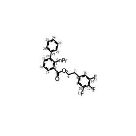 CCCc1c(C(=O)OCCc2cc(F)c(F)c(F)c2)cccc1-c1ccccc1